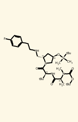 C[C@@H](C(=O)N[C@H](C(=O)N1C[C@H](O[Si](C)(C)C(C)(C)C)C[C@H]1CNCCc1ccc(F)cc1)C(C)(C)C)N(C)C(=O)OC(C)(C)C